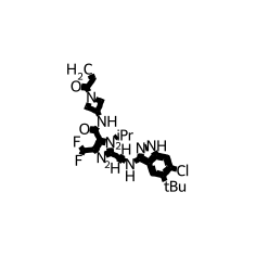 [2H]C([2H])(Nc1n[nH]c2cc(Cl)c(C(C)(C)C)cc12)c1nc(C(F)F)c(C(=O)NC2CN(C(=O)C=C)C2)n1C(C)C